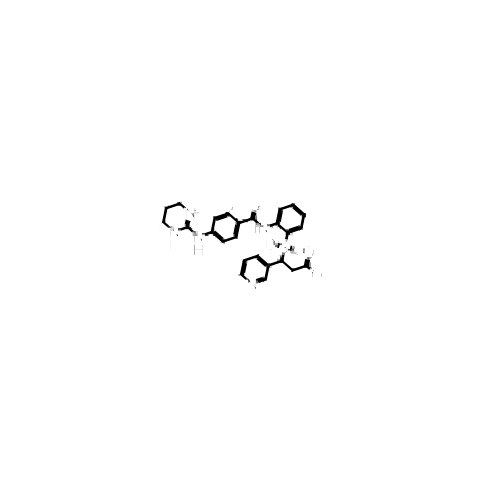 O=C(O)CC(c1cccnc1)S(=O)(=O)c1ccccc1NC(=O)c1ccc(NC2=NCCCN2)cc1